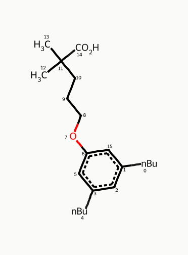 CCCCc1cc(CCCC)cc(OCCCC(C)(C)C(=O)O)c1